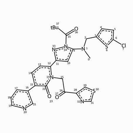 CN(Cc1ccc(Cl)s1)c1cc(-c2ccc(-c3cccnc3)c(=O)n2CC(=O)c2cscn2)nn1C(=O)C(C)(C)C